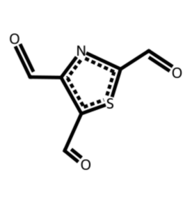 O=Cc1nc(C=O)c(C=O)s1